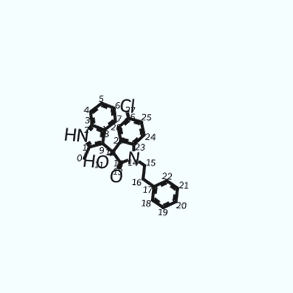 Cc1[nH]c2ccccc2c1C1(O)C(=O)N(CCc2ccccc2)c2ccc(Cl)cc21